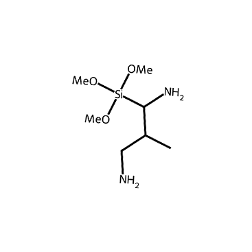 CO[Si](OC)(OC)C(N)C(C)CN